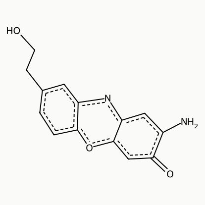 Nc1cc2nc3cc(CCO)ccc3oc-2cc1=O